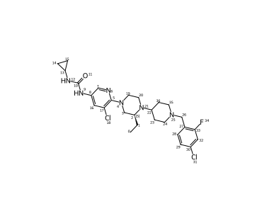 CC[C@H]1CN(c2ncc(NC(=O)NC3CC3)cc2Cl)CCN1C1CCN(Cc2ccc(Cl)cc2F)CC1